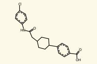 O=C(CC1CCC(c2ccc(C(=O)O)cc2)CC1)Nc1ccc(Cl)cc1